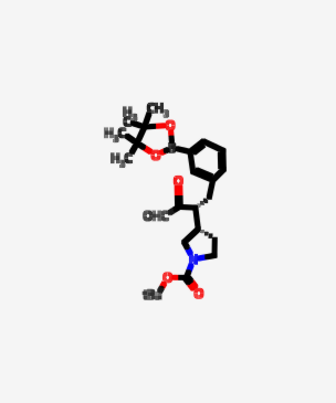 CC(C)(C)OC(=O)N1CC[C@@H]([C@@H](Cc2cccc(B3OC(C)(C)C(C)(C)O3)c2)C(=O)C=O)C1